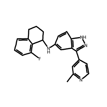 Cc1cc(-c2n[nH]c3ccc(NC4CCCc5cccc(F)c54)cc23)ccn1